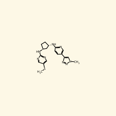 CSc1cnc(N[C@H]2CC[C@H](Nc3ccc(-c4cn(C)nn4)cn3)C2)nc1